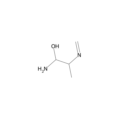 C=NC(C)C(N)O